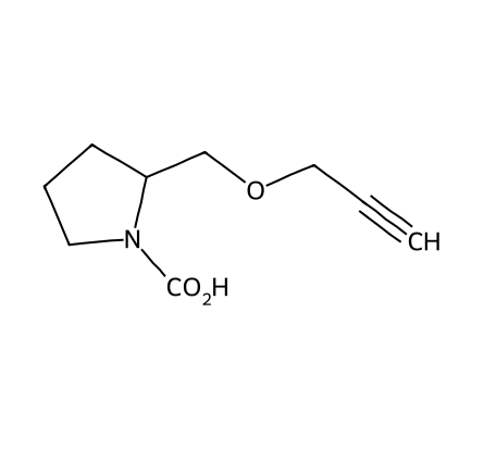 C#CCOCC1CCCN1C(=O)O